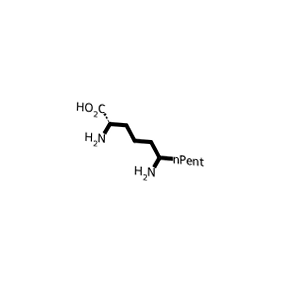 CCCCCC(N)CCC[C@H](N)C(=O)O